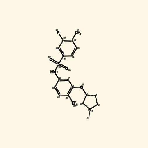 CN1CCC(Oc2cc(NS(=O)(=O)c3ccc(C(F)(F)F)c(F)c3)ccc2C(F)(F)F)C1